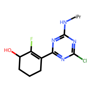 CC(C)Nc1nc(Cl)nc(C2=C(F)C(O)CCC2)n1